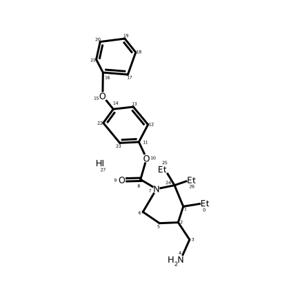 CCC1C(CN)CCN(C(=O)Oc2ccc(Oc3ccccc3)cc2)C1(CC)CC.I